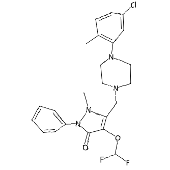 Cc1ccc(Cl)cc1N1CCN(Cc2c(OC(F)F)c(=O)n(-c3ccccc3)n2C)CC1